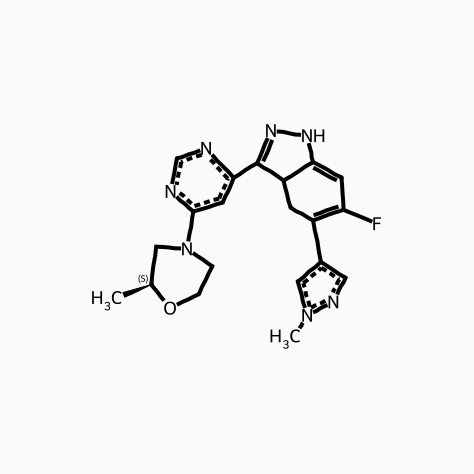 C[C@H]1CN(c2cc(C3=NNC4=CC(F)=C(c5cnn(C)c5)CC43)ncn2)CCO1